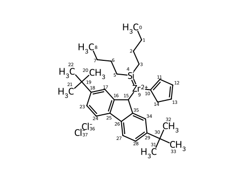 CCCC[Si](CCCC)=[Zr+2]([C]1=CC=CC1)[CH]1c2cc(C(C)(C)C)ccc2-c2ccc(C(C)(C)C)cc21.[Cl-].[Cl-]